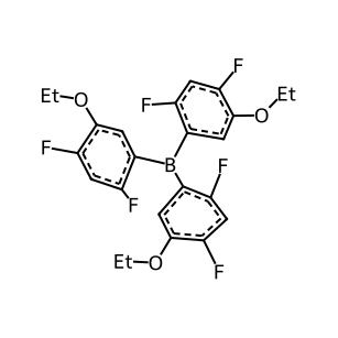 CCOc1cc(B(c2cc(OCC)c(F)cc2F)c2cc(OCC)c(F)cc2F)c(F)cc1F